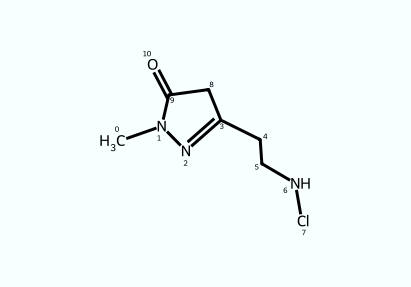 CN1N=C(CCNCl)CC1=O